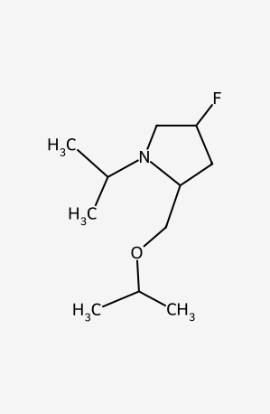 CC(C)OCC1CC(F)CN1C(C)C